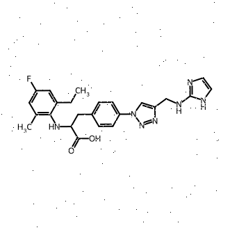 CCc1cc(F)cc(C)c1NC(Cc1ccc(-n2cc(CNc3ncc[nH]3)nn2)cc1)C(=O)O